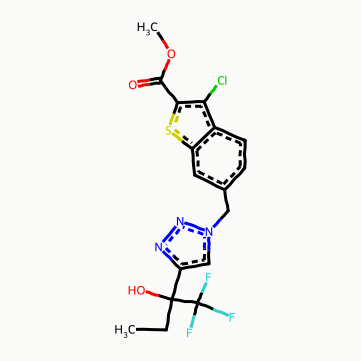 CCC(O)(c1cn(Cc2ccc3c(Cl)c(C(=O)OC)sc3c2)nn1)C(F)(F)F